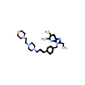 CCc1nc2cc(C)c(C)nc2n1Cc1ccc(C=CCN2CCN(CCN3CCOCC3)CC2)cc1